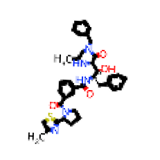 Cc1csc(C2CCCN2C(=O)c2cccc(C(=O)N[C@@H](Cc3ccccc3)[C@H](O)C3NC(C)CN(Cc4ccccc4)C3=O)c2)n1